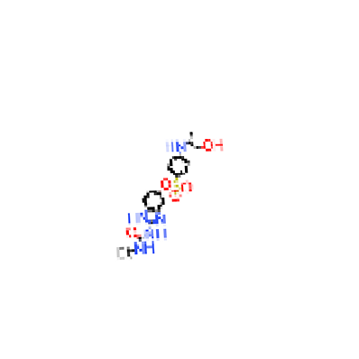 CCNC(=O)Nc1nc2cc(OS(=O)(=O)c3ccc(NC(C)CO)cc3)ccc2[nH]1